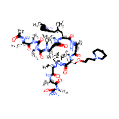 C/C=C/C[C@@H](C)C[C@@H](C(=O)N[C@@H](CC)C(=O)N(C)[C@H](COCCCN1CCCCC1)C(=O)N(C)[C@@H](CC(C)C)C(=O)N[C@@H](C(=O)N(C)C(N)=O)C(C)C)N(C)C(=O)[C@H](C(C)C)N(C)C(=O)N(C)C(=O)N(C)C(=O)[C@H](C)NC(=O)CC